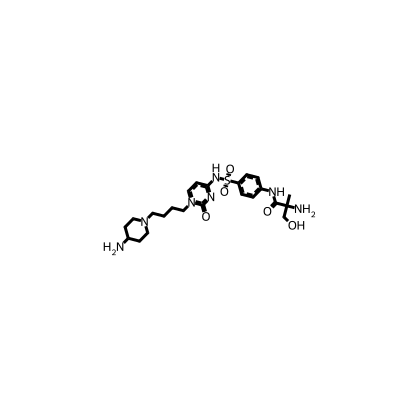 CC(N)(CO)C(=O)Nc1ccc(S(=O)(=O)Nc2ccn(CCCCN3CCC(N)CC3)c(=O)n2)cc1